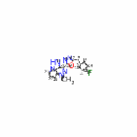 Cn1nc(-c2nnc(Cc3ccc(F)cc3)o2)c(=N)c2ncccc21